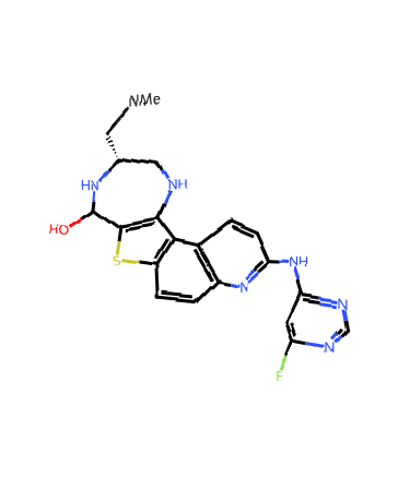 CNC[C@@H]1CNc2c(sc3ccc4nc(Nc5cc(F)ncn5)ccc4c23)C(O)N1